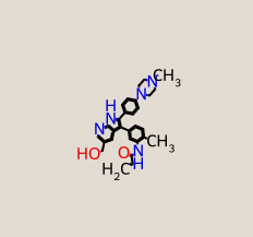 C=CC(=O)Nc1cc(-c2c(-c3ccc(N4CCN(C)CC4)cc3)[nH]c3ncc(CO)cc23)ccc1C